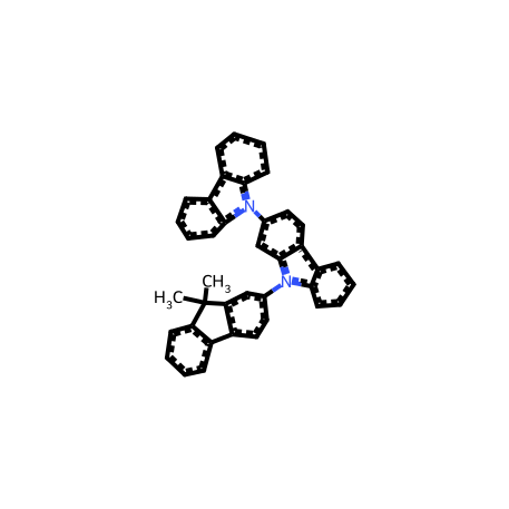 CC1(C)c2ccccc2-c2ccc(-n3c4ccccc4c4ccc(-n5c6ccccc6c6ccccc65)cc43)cc21